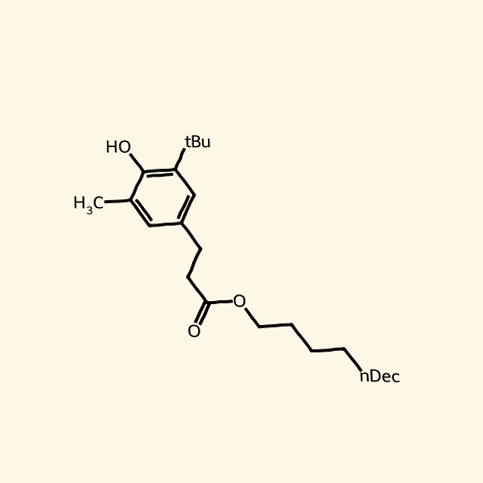 CCCCCCCCCCCCCCOC(=O)CCc1cc(C)c(O)c(C(C)(C)C)c1